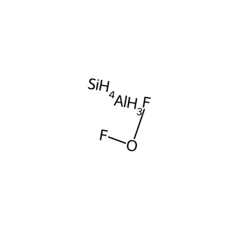 FOF.[AlH3].[SiH4]